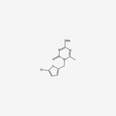 CSc1nc(C)n(Cc2ccc(Cl)s2)c(=O)n1